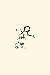 CN[C@@H](CO)CNCC(C)(C)c1ccccc1OC